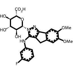 COc1cc2c(cc1OC)-c1nn([C@H]3O[C@@H](C(=O)O)[C@H](O)[C@@H](O)[C@@H]3O)c(Nc3cccc(F)c3)c1C2